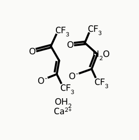 O.O.O=C(C=C([O-])C(F)(F)F)C(F)(F)F.O=C(C=C([O-])C(F)(F)F)C(F)(F)F.[Ca+2]